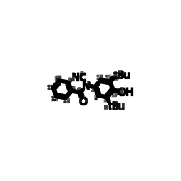 CC(C)(C)c1cc(N(C#N)C(=O)c2ccccc2)cc(C(C)(C)C)c1O